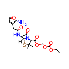 CCOC(=O)OCOC(=O)[C@@H]1N2C(=O)[C@@H](NC(=O)Cc3ccoc3N)[C@H]2SC1(C)C